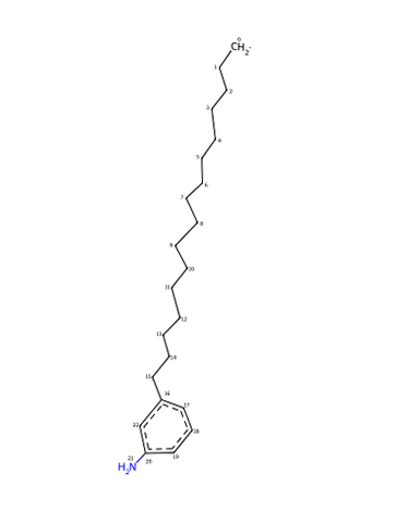 [CH2]CCCCCCCCCCCCCC[CH]c1cccc(N)c1